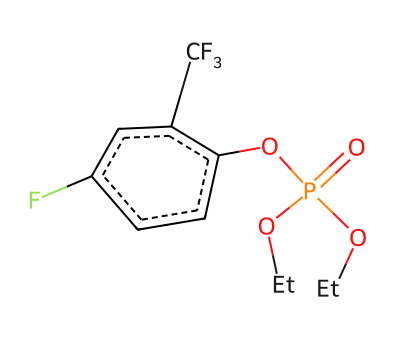 CCOP(=O)(OCC)Oc1ccc(F)cc1C(F)(F)F